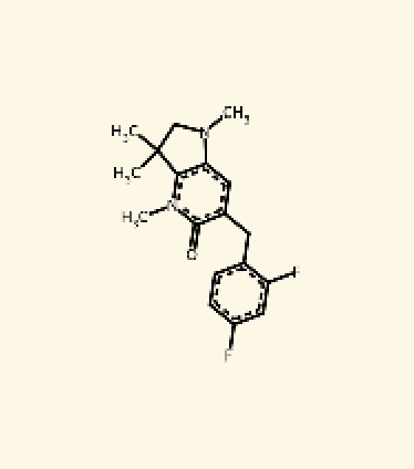 CN1CC(C)(C)c2c1cc(Cc1ccc(F)cc1F)c(=O)n2C